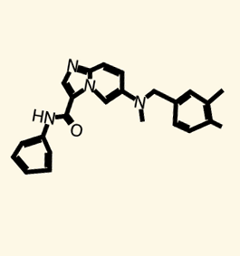 Cc1ccc(CN(C)c2ccc3ncc(C(=O)Nc4ccccc4)n3c2)cc1C